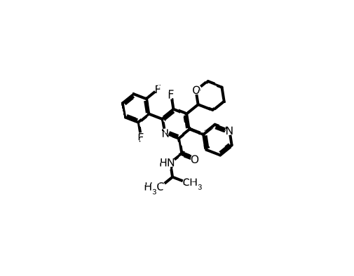 CC(C)NC(=O)c1nc(-c2c(F)cccc2F)c(F)c(C2CCCCO2)c1-c1cccnc1